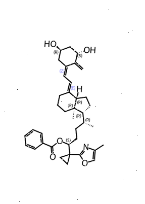 C=C1/C(=C\C=C2/CCC[C@]3(C)[C@@H]([C@H](C)CC[C@H](OC(=O)c4ccccc4)C4(c5nc(C)co5)CC4)CC[C@@H]23)C[C@@H](O)C[C@@H]1O